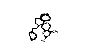 CN1Cc2c(O)nc(O)nc2CC12c1ccccc1CCC2OCc1ccccc1